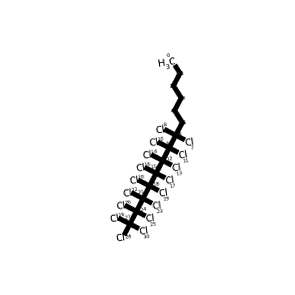 CCCCC[CH]C(Cl)(Cl)C(Cl)(Cl)C(Cl)(Cl)C(Cl)(Cl)C(Cl)(Cl)C(Cl)(Cl)C(Cl)(Cl)C(Cl)(Cl)Cl